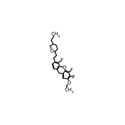 CCCC1CCC(CCc2ccc3c(c2F)Oc2c(cc(OCC)c(F)c2F)C3)OC1